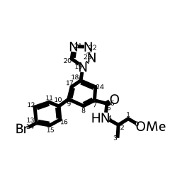 COCC(C)NC(=O)c1cc(-c2ccc(Br)cc2)cc(-n2cnnn2)c1